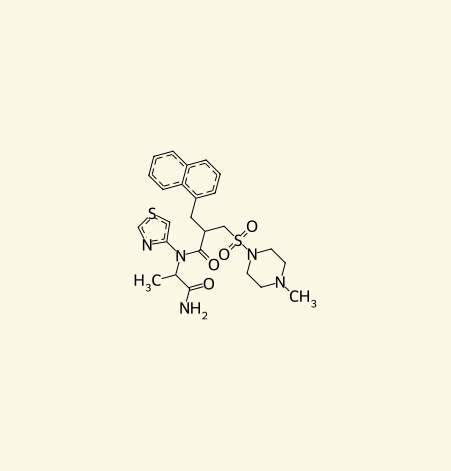 CC(C(N)=O)N(C(=O)C(Cc1cccc2ccccc12)CS(=O)(=O)N1CCN(C)CC1)c1cscn1